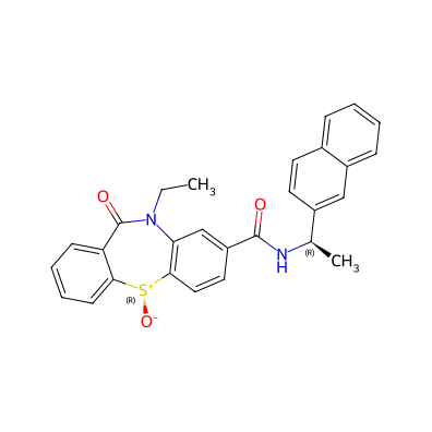 CCN1C(=O)c2ccccc2[S@+]([O-])c2ccc(C(=O)N[C@H](C)c3ccc4ccccc4c3)cc21